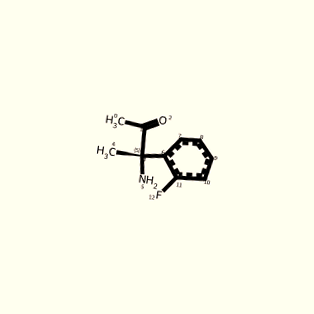 CC(=O)[C@@](C)(N)c1ccccc1F